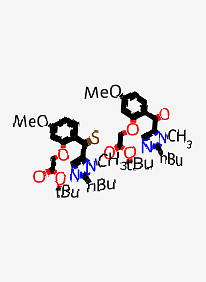 CCCCc1ncc(C(=O)c2ccc(OC)cc2OCC(=O)OC(C)(C)C)n1C.CCCCc1ncc(C(=S)c2ccc(OC)cc2OCC(=O)OC(C)(C)C)n1C